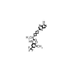 CN(C(=O)Nc1cc(C(F)(F)F)cn(C)c1=O)C1CC2(C1)CN(c1cnc3[nH]ncc3n1)C2